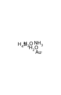 N.O.O.[Au].[SiH4]